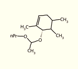 CCCOC(C)O[C@@H]1C(C)=CCC(C)C1C